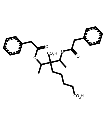 CC(OC(=O)Cc1ccccc1)C(CCCCC(=O)O)(C(=O)O)C(C)OC(=O)Cc1ccccc1